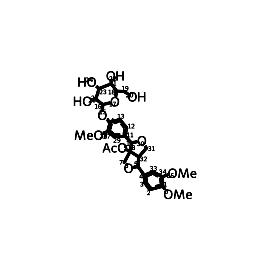 COc1ccc(C2OCC3(OC(C)=O)C(c4ccc(OC5OC(CO)C(O)C(O)C5O)c(OC)c4)OCC23)cc1OC